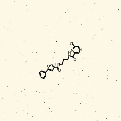 O=C(NCCCNC(=O)c1cncc(Cl)n1)c1cc(-c2ccccc2)on1